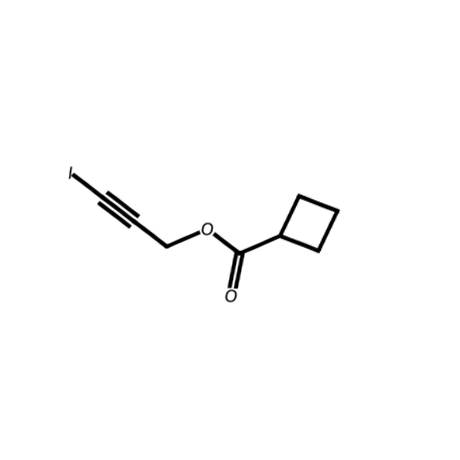 O=C(OCC#CI)C1CCC1